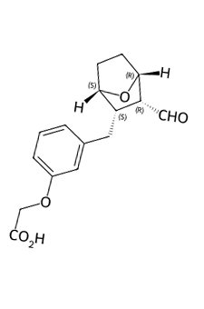 O=C[C@@H]1[C@H](Cc2cccc(OCC(=O)O)c2)[C@@H]2CC[C@H]1O2